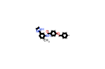 Cc1ccc(-c2ncc[nH]2)cc1NC(=O)c1ccc(OCc2ccccc2)cc1